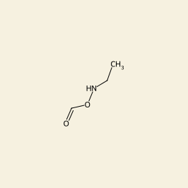 CCNOC=O